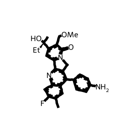 CC[C@](C)(O)c1cc2n(c(=O)c1COC)Cc1c-2nc2cc(F)c(C)cc2c1-c1ccc(N)cc1